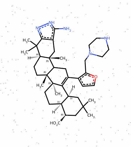 CC1(C)C[C@@H]2C3=C(c4ccoc4CN4CCNCC4)CC4[C@@]5(C)Cc6c(n[nH]c6N)C(C)(C)[C@@H]5CC[C@@]4(C)[C@]3(C)CC[C@@H]2[C@H](C(=O)O)C1